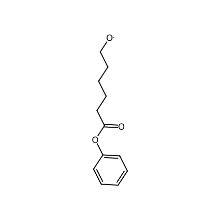 [O]CCCCCC(=O)Oc1ccccc1